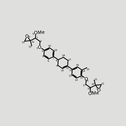 COC(COc1ccc(C2CC=C(c3ccc(OCC(OC)C4(C)CO4)c(C)c3)CC2)cc1)C1(C)CO1